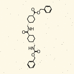 O=C(NC[C@H]1CC[C@H](C(=O)NC[C@H]2CC[C@H](C(=O)OCc3ccccc3)CC2)CC1)OCc1ccccc1